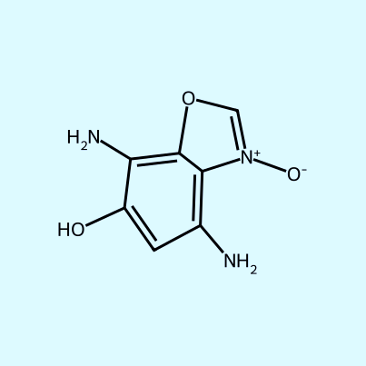 Nc1c(O)cc(N)c2c1oc[n+]2[O-]